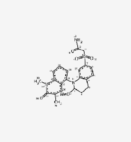 COC1CCc2ccc(S(=O)(=O)CC(N)=O)cc2N1c1cccc2c1cc(C)c(=O)n2C